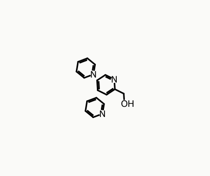 OCc1ccccn1.c1ccncc1.c1ccncc1